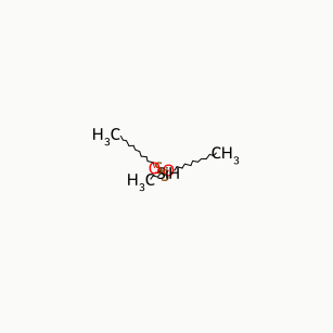 CCCCCCCCCCCCOS[SiH](CCC)SOCCCCCCCCCCCC